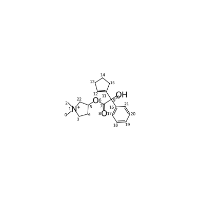 C[N+]1(C)CCC(OC(=O)C(O)(C2=CCCC2)c2ccccc2)C1